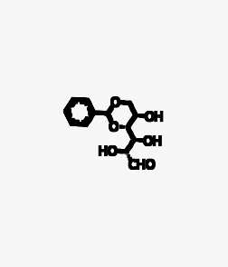 O=C[C@H](O)[C@H](O)[C@@H]1OC(c2ccccc2)OC[C@H]1O